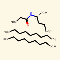 CCCCCCCCCCCC(=O)N[C@@H](CCC(=O)O)C(=O)O.CCCCCCCCCCCCCCCCCC(=O)O.CCCCCCCCCCCCCCCCCC(=O)O